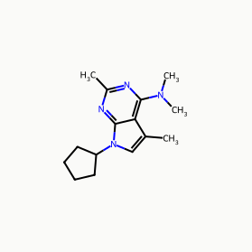 Cc1nc(N(C)C)c2c(C)cn(C3CCCC3)c2n1